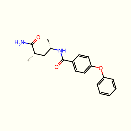 C[C@@H](C[C@H](C)C(N)=O)NC(=O)c1ccc(Oc2ccccc2)cc1